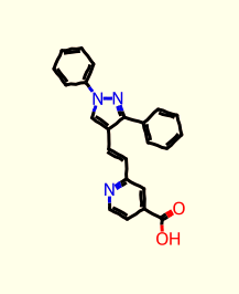 O=C(O)c1ccnc(/C=C/c2cn(-c3ccccc3)nc2-c2ccccc2)c1